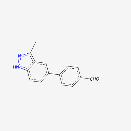 Cc1n[nH]c2ccc(-c3ccc(C=O)cc3)cc12